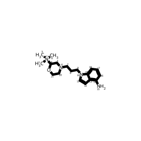 C[N+](C)(C)C1CN(CCCn2ccc3c(N)cccc32)CCO1